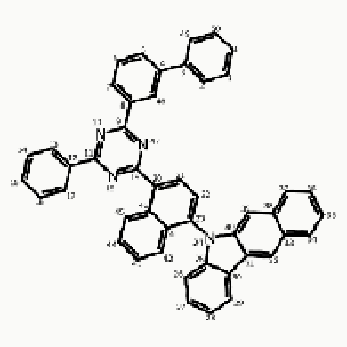 c1ccc(-c2cccc(-c3nc(-c4ccccc4)nc(-c4ccc(-n5c6ccccc6c6cc7ccccc7cc65)c5ccccc45)n3)c2)cc1